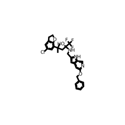 CC(C)(CC(O)(NCc1cc2cc(OCc3ccccc3)ncc2[nH]1)C(F)(F)F)c1cc(Cl)cc2c1OCC2